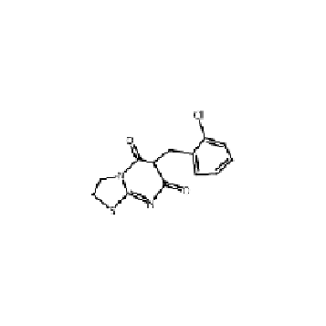 O=C1N=C2SCCN2C(=O)C1Cc1ccccc1Cl